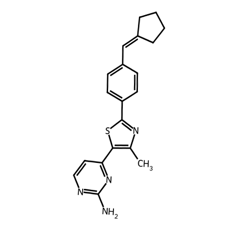 Cc1nc(-c2ccc(C=C3CCCC3)cc2)sc1-c1ccnc(N)n1